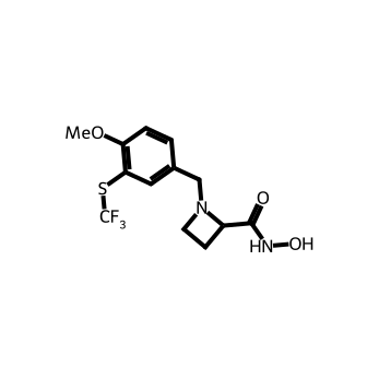 COc1ccc(CN2CCC2C(=O)NO)cc1SC(F)(F)F